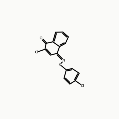 O=C1C(Cl)=C/C(=N\Sc2ccc(Cl)cc2)c2ccccc21